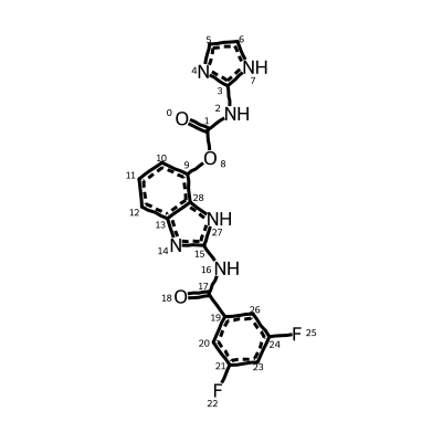 O=C(Nc1ncc[nH]1)Oc1cccc2nc(NC(=O)c3cc(F)cc(F)c3)[nH]c12